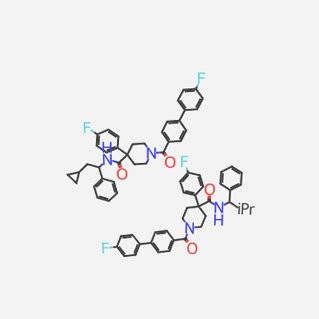 CC(C)C(NC(=O)C1(c2ccc(F)cc2)CCN(C(=O)c2ccc(-c3ccc(F)cc3)cc2)CC1)c1ccccc1.O=C(c1ccc(-c2ccc(F)cc2)cc1)N1CCC(C(=O)NC(CC2CC2)c2ccccc2)(c2ccc(F)cc2)CC1